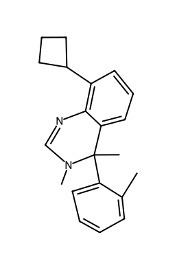 Cc1ccccc1C1(C)c2cccc(C3CCC3)c2N=CN1C